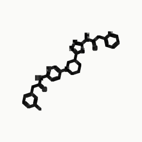 Cc1cccc(CC(=O)Nc2ccc(N3CCCC(c4nnc(NC(=O)Cc5ccccn5)s4)C3)cn2)c1